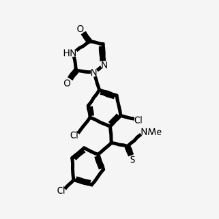 CNC(=S)C(c1ccc(Cl)cc1)c1c(Cl)cc(-n2ncc(=O)[nH]c2=O)cc1Cl